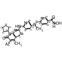 CC(=O)c1c(C)c2cnc(Nc3ccc(N(C)Cc4ccc(C(=O)NO)cn4)cn3)nc2n(C2CCCC2)c1=O